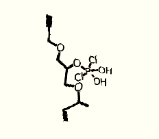 C#CCOCC(COC(C)C=C)OP(O)(O)(Cl)Cl